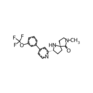 CN1CC[C@]2(CC[C@H](c3cc(-c4cccc(OC(F)(F)F)c4)ccn3)N2)C1=O